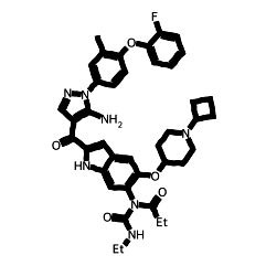 CCNC(=O)N(C(=O)CC)c1cc2[nH]c(C(=O)c3cnn(-c4ccc(Oc5ccccc5F)c(C)c4)c3N)cc2cc1OC1CCN(C2CCC2)CC1